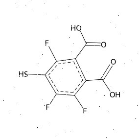 O=C(O)c1c(F)c(F)c(S)c(F)c1C(=O)O